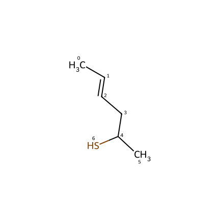 CC=CCC(C)S